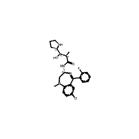 C[C@@H](C(=O)N[C@H]1CN(C)c2ccc(Cl)cc2C(c2ccccc2F)=N1)[C@@H](O)[C@H]1CCCN1